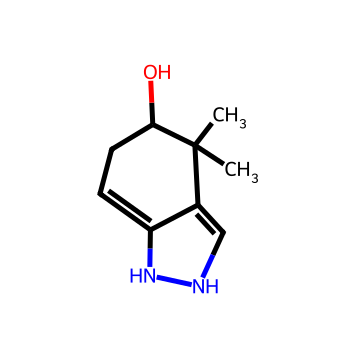 CC1(C)C2=CNNC2=CCC1O